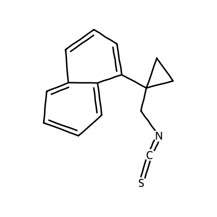 S=C=NCC1(c2cccc3ccccc23)CC1